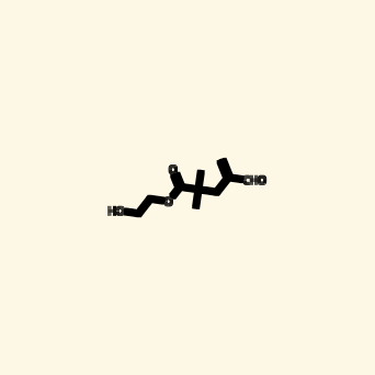 C=C(C=O)CC(C)(C)C(=O)OCCO